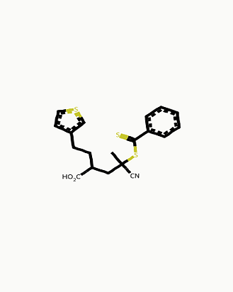 CC(C#N)(CC(CCc1ccsc1)C(=O)O)SC(=S)c1ccccc1